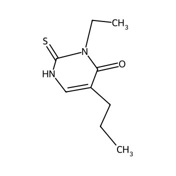 CCCc1c[nH]c(=S)n(CC)c1=O